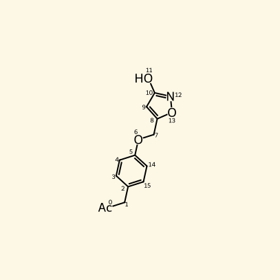 CC(=O)Cc1ccc(OCc2cc(O)no2)cc1